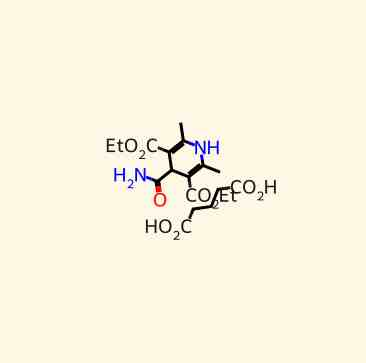 CCOC(=O)C1=C(C)NC(C)=C(C(=O)OCC)C1C(N)=O.O=C(O)CCCC(=O)O